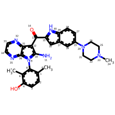 Cc1ccc(O)c(C)c1-n1c(N)c(C(=O)c2cc3cc(N4CCN(C)CC4)ccc3[nH]2)c2nccnc21